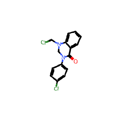 O=C1c2ccccc2N(CCl)CN1c1ccc(Cl)cc1